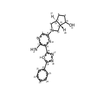 Nc1ncc(N2C[C@H]3CCC(O)[C@@H]3C2)nc1-c1nnc(-c2ccccc2)o1